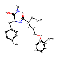 COc1ccc(C[C@H](NC(=O)[C@H](CCCOc2ccccc2OC)CC(=O)O)C(=O)NC(C)(C)C)cc1